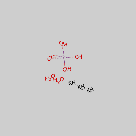 O.O.O=P(O)(O)O.[KH].[KH].[KH]